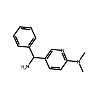 CN(C)c1ccc(C(N)c2ccccc2)cn1